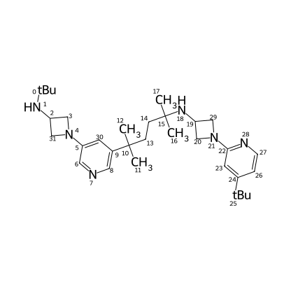 CC(C)(C)NC1CN(c2cncc(C(C)(C)CCC(C)(C)NC3CN(c4cc(C(C)(C)C)ccn4)C3)c2)C1